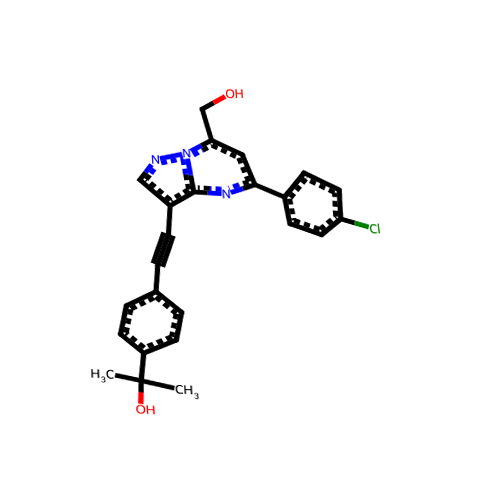 CC(C)(O)c1ccc(C#Cc2cnn3c(CO)cc(-c4ccc(Cl)cc4)nc23)cc1